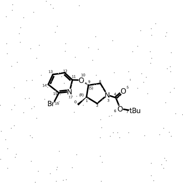 C[C@@H]1CN(C(=O)OC(C)(C)C)C[C@H]1Oc1cccc(Br)n1